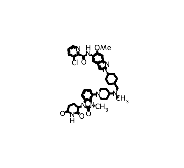 COc1cc2nn(C3CCC(CN(C)C4CCN(c5cccc6c5n(C)c(=O)n6C5CCC(=O)NC5=O)CC4)CC3)cc2cc1NC(=O)c1ncccc1Cl